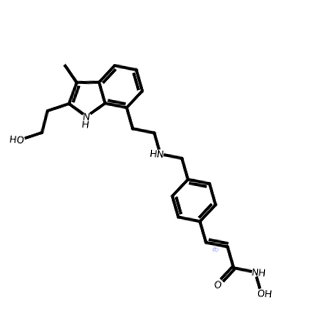 Cc1c(CCO)[nH]c2c(CCNCc3ccc(/C=C/C(=O)NO)cc3)cccc12